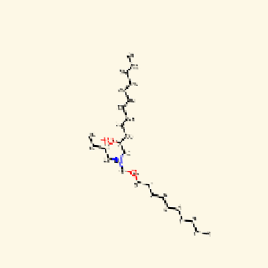 CCCCCCCCCCOCN(CCCC)CC(O)CCCCCCCCCC